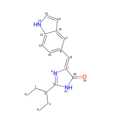 CCC(CC)C1=N/C(=C\c2ccc3[nH]ccc3c2)C(=O)N1